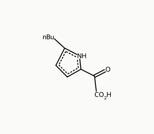 CCCCc1ccc(C(=O)C(=O)O)[nH]1